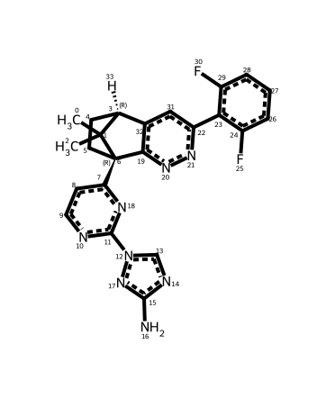 CC1(C)[C@H]2CC[C@@]1(c1ccnc(-n3cnc(N)n3)n1)c1nnc(-c3c(F)cccc3F)cc12